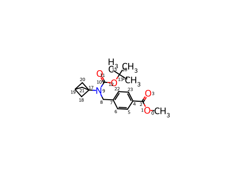 COC(=O)c1ccc(CN(C(=O)OC(C)(C)C)C23CC(C2)C3)cc1